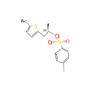 CC(=O)c1ccc(C[C@@H](C)OS(=O)(=O)c2ccc(C)cc2)s1